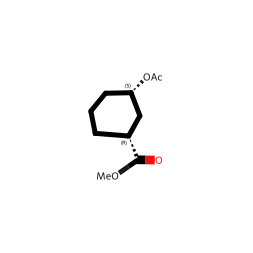 COC(=O)[C@@H]1CCC[C@H](OC(C)=O)C1